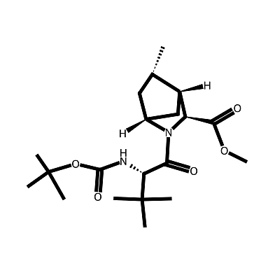 COC(=O)[C@@H]1[C@@H]2C[C@@H](C[C@@H]2C)N1C(=O)[C@@H](NC(=O)OC(C)(C)C)C(C)(C)C